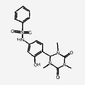 CN1C(=O)N(C)C(c2ccc(NS(=O)(=O)c3ccccc3)cc2O)N(C)C1=O